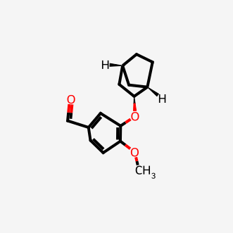 COc1ccc(C=O)cc1O[C@H]1C[C@@H]2CC[C@H]1C2